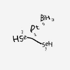 [BiH3].[Pt].[SeH][SeH]